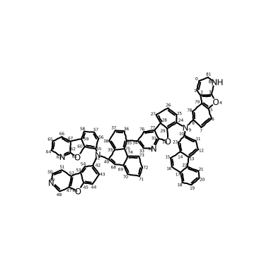 C1=Cc2c(oc3ccc(N(c4ccc5c(ccc6ccccc65)c4)c4cccc5c4oc4ncc(-c6cccc7c(N(c8ccc9oc%10cnccc%10c9c8)c8cccc9c8oc8ncccc89)cc8ccccc8c67)cc45)cc23)NC1